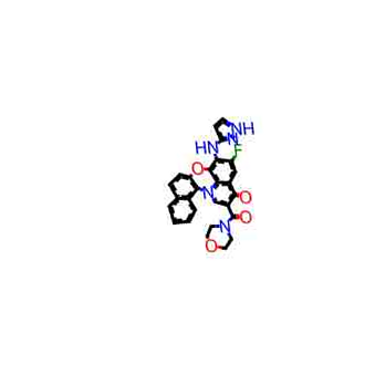 O=C(c1cn2c3c(c(Nc4cc[nH]n4)c(F)cc3c1=O)Oc1ccc3ccccc3c1-2)N1CCOCC1